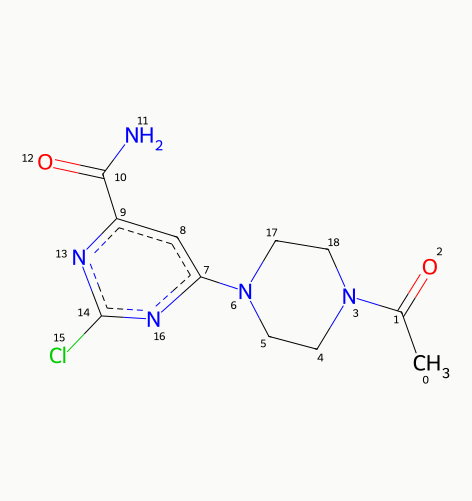 CC(=O)N1CCN(c2cc(C(N)=O)nc(Cl)n2)CC1